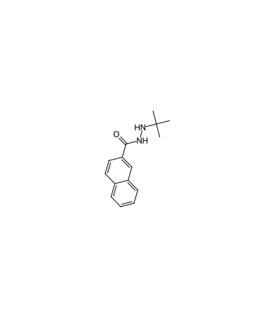 CC(C)(C)NNC(=O)c1ccc2ccccc2c1